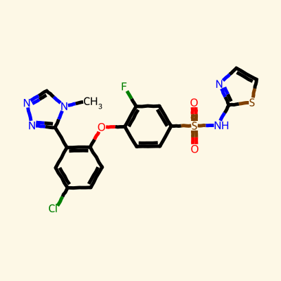 Cn1cnnc1-c1cc(Cl)ccc1Oc1ccc(S(=O)(=O)Nc2nccs2)cc1F